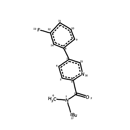 CN(C(=O)c1ccc(-c2cccc(F)c2)cn1)C(C)(C)C